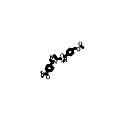 CC(=O)OCc1ccc(-c2nnc(-c3cncc(-c4ccc(C(=O)N(C)C)cc4)n3)o2)cc1